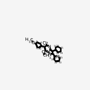 COc1ccc(-c2c(Cl)nc3c(C4=CCCCC4)c(-c4ccccn4)nn3c2OC)cc1